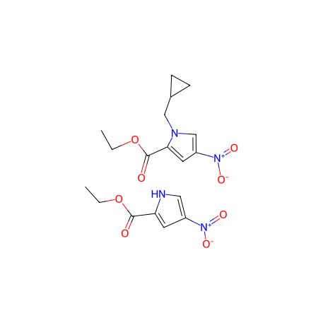 CCOC(=O)c1cc([N+](=O)[O-])c[nH]1.CCOC(=O)c1cc([N+](=O)[O-])cn1CC1CC1